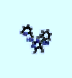 Cc1nc(NCc2ccccn2)nc(NC2CCCCC2C)c1C